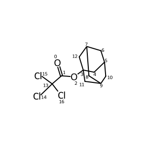 O=C(OC12CC3CC(CC(C3)C1)C2)C(Cl)(Cl)Cl